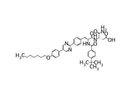 CCCCCCCOc1ccc(-c2cnc(-c3ccc(C[C@H](NC(=O)c4ccc(C(C)(C)C)cc4)C(=O)N[C@@H](CC(=O)O)C(N)=O)cc3)nc2)cc1